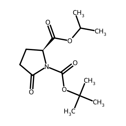 CC(C)OC(=O)[C@@H]1CCC(=O)N1C(=O)OC(C)(C)C